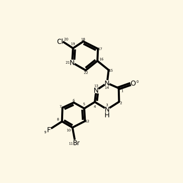 O=C1CNC(c2ccc(F)c(Br)c2)=NN1Cc1ccc(Cl)nc1